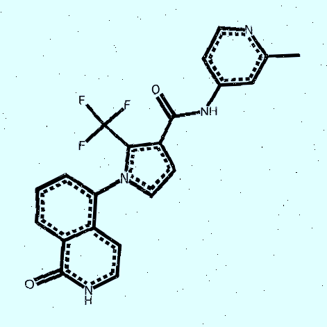 Cc1cc(NC(=O)c2ccn(-c3cccc4c(=O)[nH]ccc34)c2C(F)(F)F)ccn1